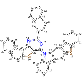 c1ccc2cc(-c3nc(-n4c5ccccc5c5cc6sc7ccccc7c6cc54)c4sc5ccc6ccccc6c5c4n3)ccc2c1